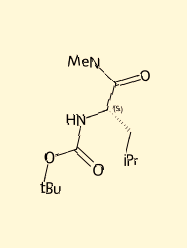 CNC(=O)[C@H](CC(C)C)NC(=O)OC(C)(C)C